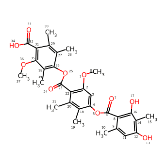 COc1cc(OC(=O)c2c(C)cc(O)c(C)c2O)c(C)c(C)c1C(=O)Oc1c(C)c(C)c(C(=O)O)c(OC)c1C